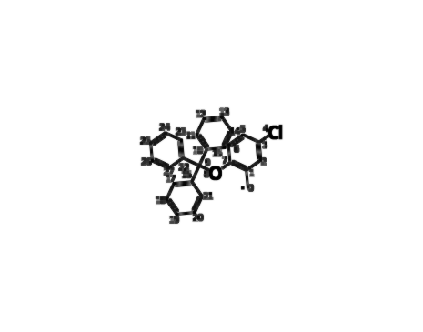 [CH2]c1cc(Cl)ccc1OC(c1ccccc1)(c1ccccc1)c1ccccc1